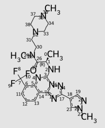 C[C@@H](Nc1nc2c(C(F)(F)F)cccc2c2nc(-c3cnn(C)c3)nn12)C(=O)N(C)CCN1CCN(C)CC1